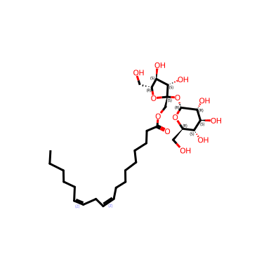 CCCCC/C=C\C/C=C\CCCCCCCC(=O)OC[C@@]1(O[C@H]2O[C@H](CO)[C@@H](O)[C@H](O)[C@H]2O)O[C@H](CO)[C@@H](O)[C@@H]1O